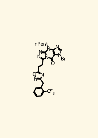 CCCCCn1c2ncn(Br)c2c(=O)n2c(CCc3nc(Cc4ccccc4C(F)(F)F)no3)nnc12